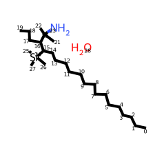 CCCCCCCCCCCCCCCC(C(CCC)C(C)(C)N)[Si](C)(C)C.O